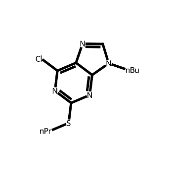 CCCCn1cnc2c(Cl)nc(SCCC)nc21